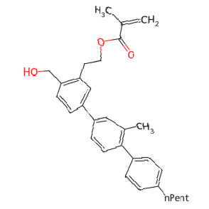 C=C(C)C(=O)OCCc1cc(-c2ccc(-c3ccc(CCCCC)cc3)c(C)c2)ccc1CO